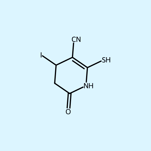 N#CC1=C(S)NC(=O)CC1I